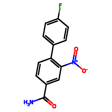 NC(=O)c1ccc(-c2ccc(F)cc2)c([N+](=O)[O-])c1